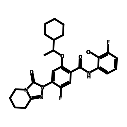 CC(Oc1cc(-n2nc3n(c2=O)CCCC3)c(F)cc1C(=O)Nc1cccc(F)c1Cl)C1CCCCC1